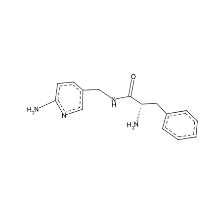 Nc1ccc(CNC(=O)[C@@H](N)Cc2ccccc2)cn1